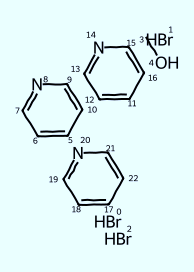 Br.Br.Br.CO.c1ccncc1.c1ccncc1.c1ccncc1